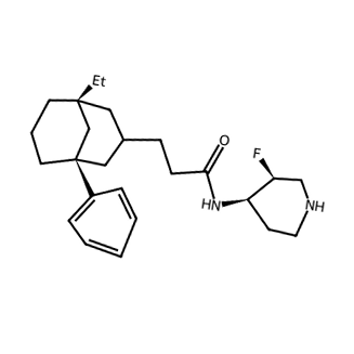 CC[C@@]12CCC[C@@](c3ccccc3)(CC(CCC(=O)N[C@@H]3CCNC[C@@H]3F)C1)C2